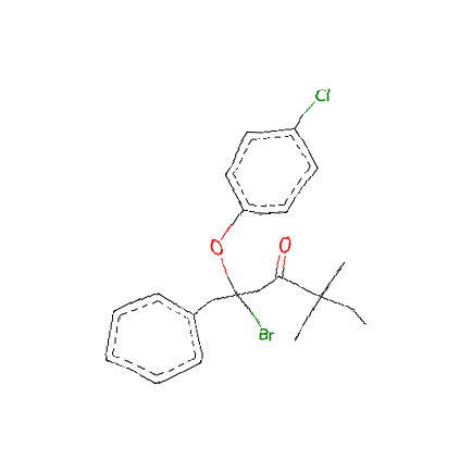 CC(C)(C)C(=O)C(Br)(Oc1ccc(Cl)cc1)c1ccccc1